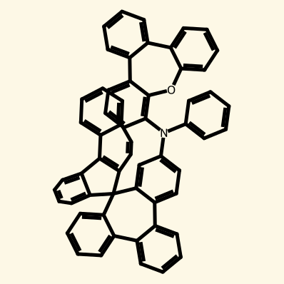 c1ccc(N(c2ccc3c(c2)C2(c4ccccc4-c4ccccc4-3)c3ccccc3-c3c2ccc2ccccc32)c2cccc3c2Oc2ccccc2-c2ccccc2-3)cc1